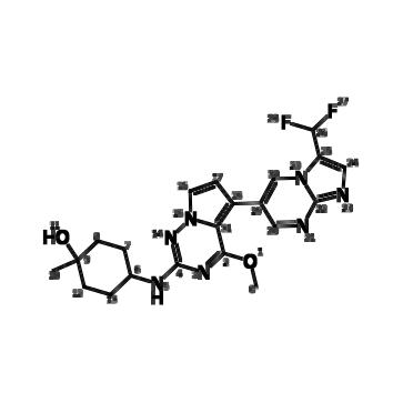 COc1nc(NC2CCC(C)(O)CC2)nn2ccc(-c3cnc4ncc(C(F)F)n4c3)c12